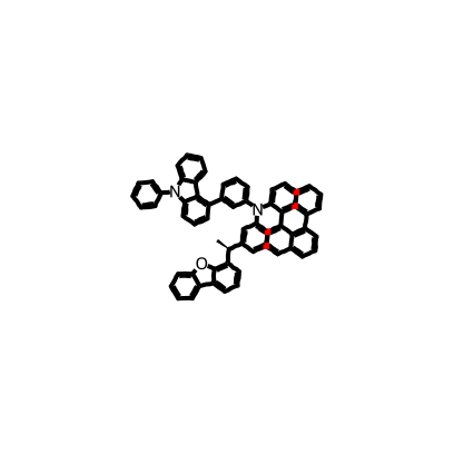 C[C@@H](c1cccc(N(c2cccc(-c3cccc4c3c3ccccc3n4-c3ccccc3)c2)c2ccccc2-c2cccc3cccc(-c4ccccc4)c23)c1)c1cccc2c1oc1ccccc12